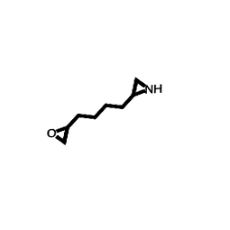 C(CCC1CO1)CC1CN1